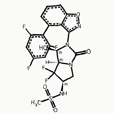 CS(=O)(=O)N[C@@H]1CN2C(=O)N(c3noc4cccc(-c5c(F)cc(F)cc5F)c34)[C@H](O)[C@@H]2C1(F)F